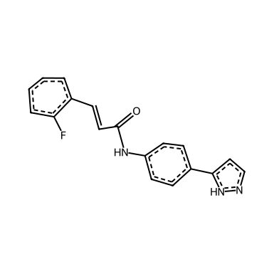 O=C(C=Cc1ccccc1F)Nc1ccc(-c2ccn[nH]2)cc1